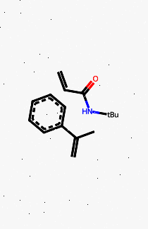 C=C(C)c1ccccc1.C=CC(=O)NC(C)(C)C